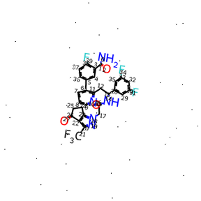 NC(=O)c1cc(-c2cccnc2CC(NC(=O)Cn2nc(C(F)(F)F)c3c2CCC3=O)c2cc(F)cc(F)c2)ccc1F